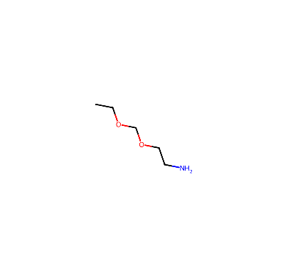 CCOCOCCN